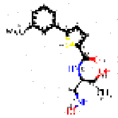 COc1cccc(-c2ccc(C(=O)N[C@H](CNO)[C@@H](C)O)s2)c1